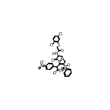 O=C(CSc1cc(Cl)ccc1Cl)N[C@H]1CN2CC(S(=O)(=O)c3ccccc3)=C(C(C(=O)O)c3ccc([N+](=O)[O-])cc3)N2C1=O